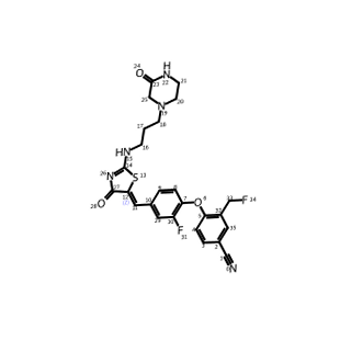 N#Cc1ccc(Oc2ccc(/C=C3\SC(NCCCN4CCNC(=O)C4)=NC3=O)cc2F)c(CF)c1